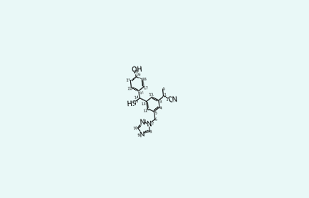 CC(C#N)c1cc(Cn2cncn2)cc(C(S)c2ccc(O)cc2)c1